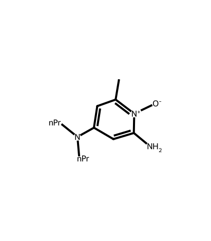 CCCN(CCC)c1cc(C)[n+]([O-])c(N)c1